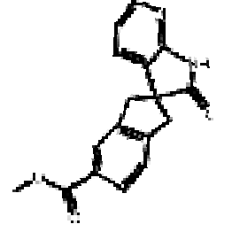 COC(=O)c1ccc2c(c1)CC1(C2)C(=O)Nc2ncccc21